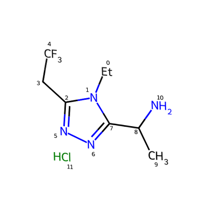 CCn1c(CC(F)(F)F)nnc1C(C)N.Cl